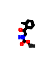 Cc1ccccc1C(=O)CNC(=O)OC(C)(C)C